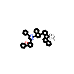 CC1(C)c2cccc(-c3ccc(-c4nc(-c5ccccc5)cc(-c5cccc6c5oc5ccccc56)n4)c4ccccc34)c2-c2ccc3ccccc3c21